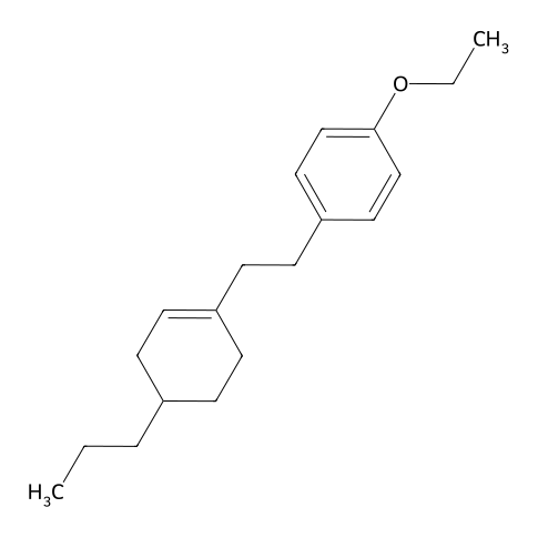 CCCC1CC=C(CCc2ccc(OCC)cc2)CC1